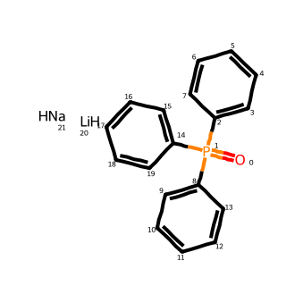 O=P(c1ccccc1)(c1ccccc1)c1ccccc1.[LiH].[NaH]